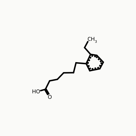 CCc1ccccc1CCCCCC(=O)O